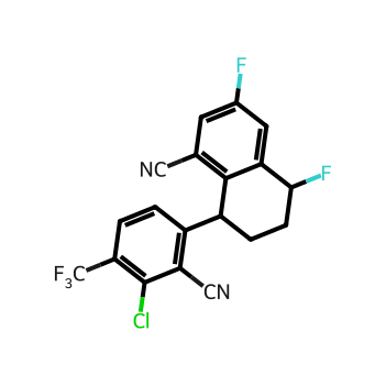 N#Cc1cc(F)cc2c1C(c1ccc(C(F)(F)F)c(Cl)c1C#N)CCC2F